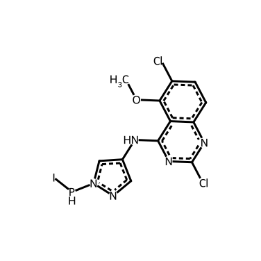 COc1c(Cl)ccc2nc(Cl)nc(Nc3cnn(PI)c3)c12